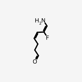 N/C=C(F)\C=C/CCC=O